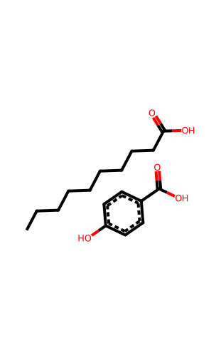 CCCCCCCCCC(=O)O.O=C(O)c1ccc(O)cc1